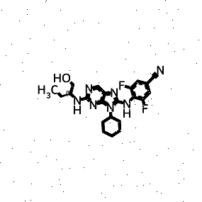 CC[C@@H](CO)Nc1ncc2nc(Nc3c(F)cc(C#N)cc3F)n(C3CCCCC3)c2n1